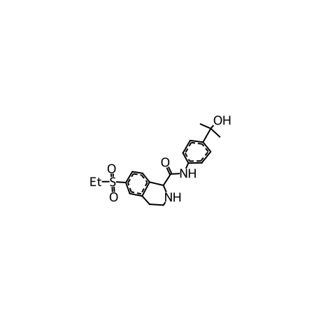 CCS(=O)(=O)c1ccc2c(c1)CCNC2C(=O)Nc1ccc(C(C)(C)O)cc1